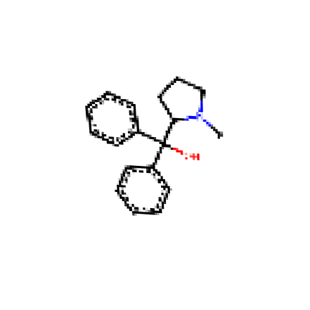 CCN1CCCC1C(O)(c1ccccc1)c1ccccc1